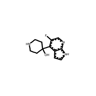 OC1(c2c(F)cnc3[nH]ccc23)CCNCC1